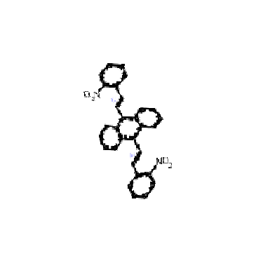 O=[N+]([O-])c1ccccc1/C=C/c1c2ccccc2c(/C=C/c2ccccc2[N+](=O)[O-])c2ccccc12